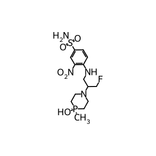 C[P]1(O)CCN(C(CF)CNc2ccc(S(N)(=O)=O)cc2[N+](=O)[O-])CC1